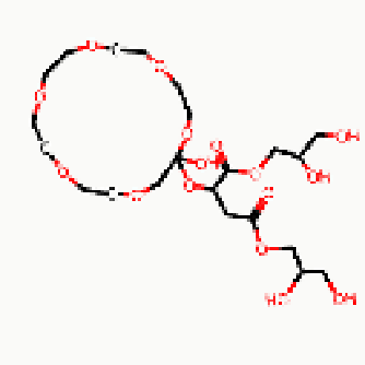 O=C(CC(OC1(O)COCCOCCOCCOCCOCCO1)C(=O)OCC(O)CO)OCC(O)CO